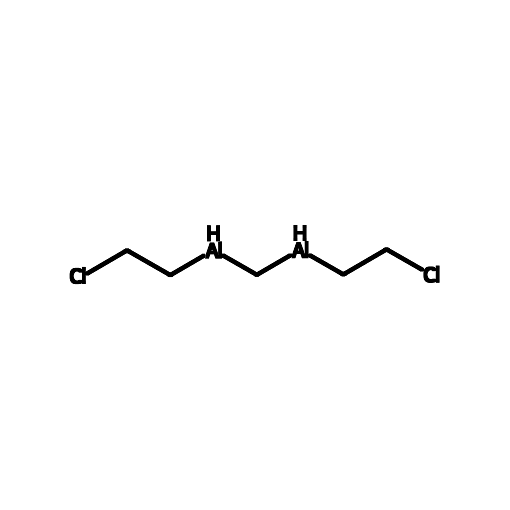 ClC[CH2][AlH][CH2][AlH][CH2]CCl